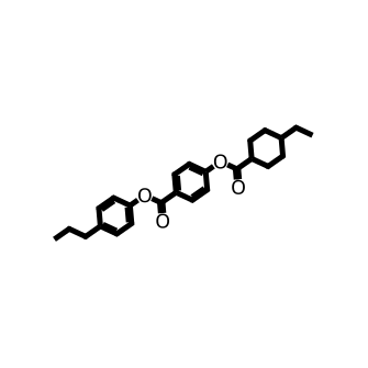 CCCc1ccc(OC(=O)c2ccc(OC(=O)C3CCC(CC)CC3)cc2)cc1